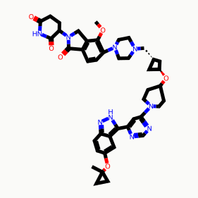 COc1c(N2CCN(C[C@H]3C[C@H](OC4CCN(c5cc(-c6[nH]nc7ccc(OC8(C)CC8)cc67)ncn5)CC4)C3)CC2)ccc2c1CN(C1CCC(=O)NC1=O)C2=O